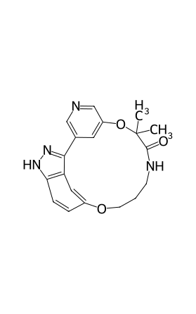 CC1(C)Oc2cncc(c2)-c2n[nH]c3ccc(cc23)OCCCNC1=O